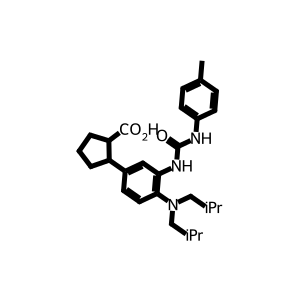 Cc1ccc(NC(=O)Nc2cc(C3CCCC3C(=O)O)ccc2N(CC(C)C)CC(C)C)cc1